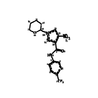 O=C(Nc1ccc(C(F)(F)F)nc1)c1nn(C2CCCCO2)cc1[N+](=O)[O-]